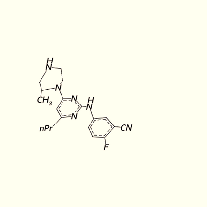 CCCc1cc(N2CCNCC2C)nc(Nc2ccc(F)c(C#N)c2)n1